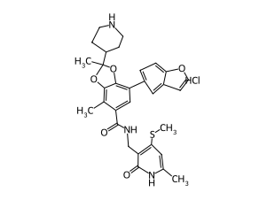 CSc1cc(C)[nH]c(=O)c1CNC(=O)c1cc(-c2ccc3occc3c2)c2c(c1C)OC(C)(C1CCNCC1)O2.Cl